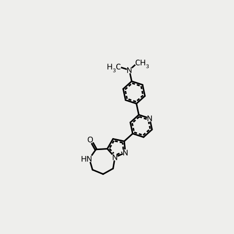 CN(C)c1ccc(-c2cc(-c3cc4n(n3)CCCNC4=O)ccn2)cc1